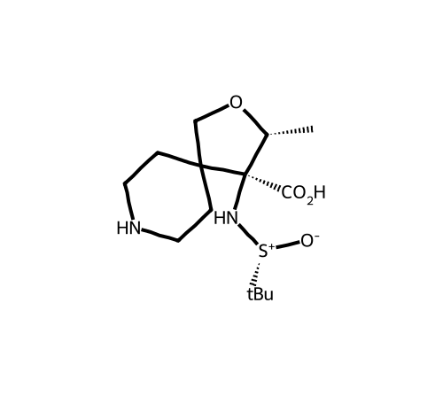 C[C@H]1OCC2(CCNCC2)[C@@]1(N[S@+]([O-])C(C)(C)C)C(=O)O